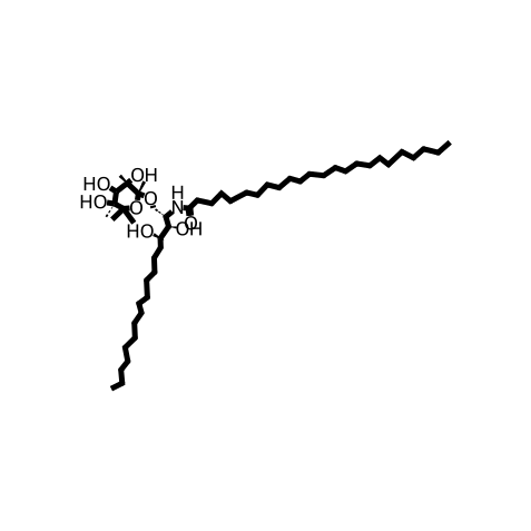 CCCCCCCCCCCCCCCCCCCCCCCC(=O)N[C@@H](CO[C@]1(C)OC(C)(C)[C@@](C)(O)C(O)[C@]1(C)O)[C@H](O)[C@H](O)CCCCCCCCCCCCCC